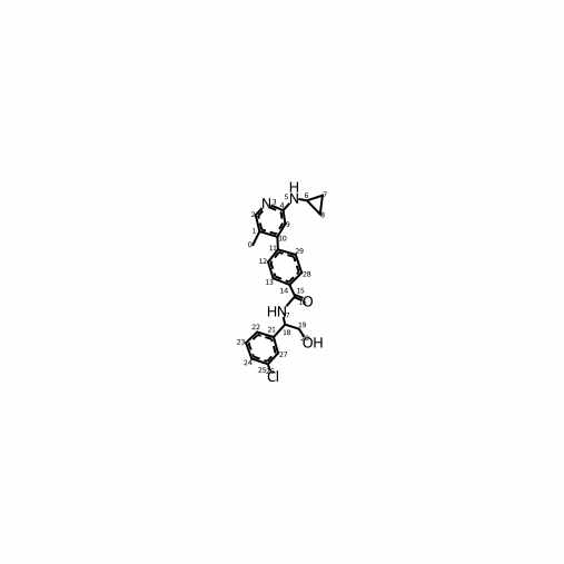 Cc1cnc(NC2CC2)cc1-c1ccc(C(=O)NC(CO)c2cccc(Cl)c2)cc1